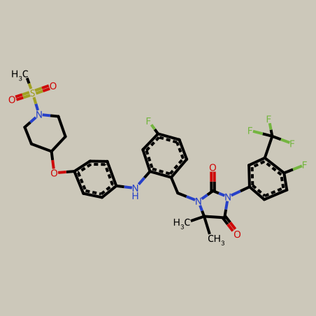 CC1(C)C(=O)N(c2ccc(F)c(C(F)(F)F)c2)C(=O)N1Cc1ccc(F)cc1Nc1ccc(OC2CCN(S(C)(=O)=O)CC2)cc1